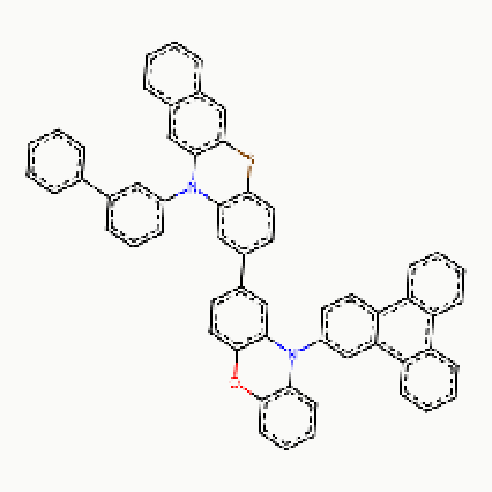 c1ccc(-c2cccc(N3c4cc(-c5ccc6c(c5)N(c5ccc7c8ccccc8c8ccccc8c7c5)c5ccccc5O6)ccc4Sc4cc5ccccc5cc43)c2)cc1